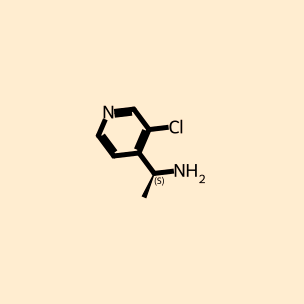 C[C@H](N)c1ccncc1Cl